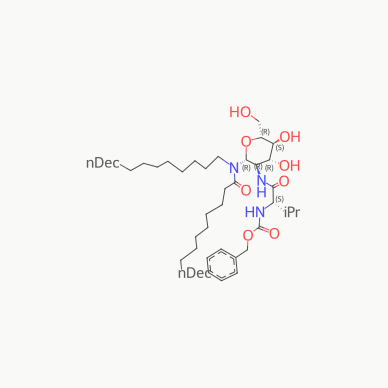 CCCCCCCCCCCCCCCCCCN(C(=O)CCCCCCCCCCCCCCCCC)[C@@H]1O[C@H](CO)[C@@H](O)[C@H](O)[C@H]1NC(=O)[C@@H](NC(=O)OCc1ccccc1)C(C)C